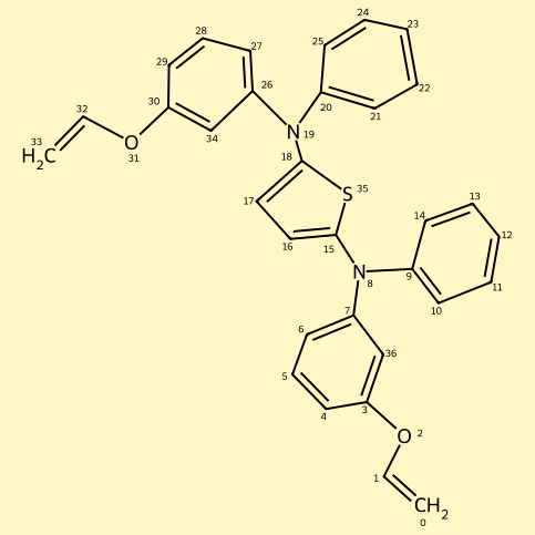 C=COc1cccc(N(c2ccccc2)c2ccc(N(c3ccccc3)c3cccc(OC=C)c3)s2)c1